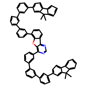 CC1(C)c2ccccc2-c2ccc(-c3cccc(-c4cccc(-c5cccc(-c6cccc7c6oc6c(-c8cccc(-c9cccc(-c%10cccc(-c%11ccc%12c(c%11)C(C)(C)c%11ccccc%11-%12)c%10)c9)c8)ncnc67)c5)c4)c3)cc21